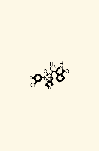 C[C@@H](c1c[nH]c(=O)c2ccccc12)N(Cc1cncs1)C(=O)Nc1ccc(F)c(Cl)c1